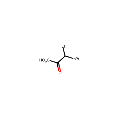 CCCC(CC)C(=O)C(=O)O